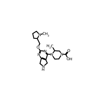 CC1CN(C(=O)O)CCN1c1nc(OCC2CCCN2C)nc2c1CNC2